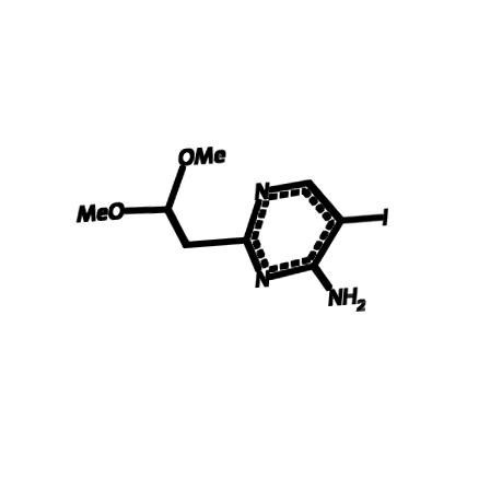 COC(Cc1ncc(I)c(N)n1)OC